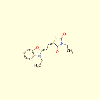 CCN1C(=O)S/C(=C/C=C2\Oc3ccccc3N2CC)C1=O